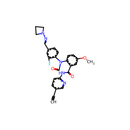 C#Cc1ccc(NC(=O)c2cc(OC)ccc2N(C=O)c2ccc(C=NN3CCC3)cc2F)nc1